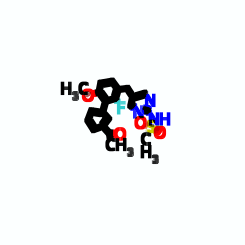 COc1ccc(Cc2cnc(NS(C)(=O)=O)nc2)c(F)c1-c1cccc(C(C)=O)c1